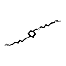 COCCCCCCOCc1ccc(OCCCCCCOC)cc1